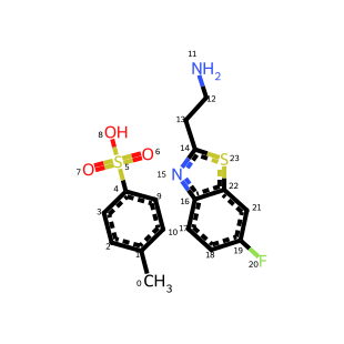 Cc1ccc(S(=O)(=O)O)cc1.NCCc1nc2ccc(F)cc2s1